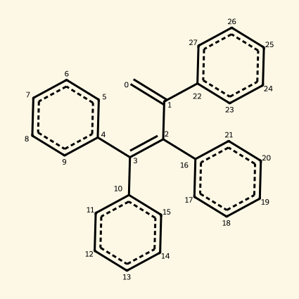 C=C(C(=C(c1ccccc1)c1ccccc1)c1ccccc1)c1ccccc1